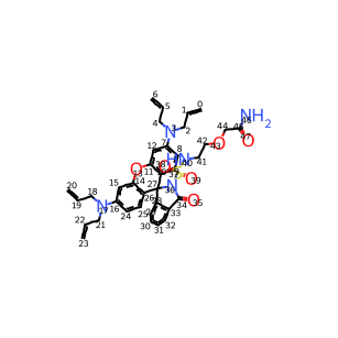 C=CCN(CC=C)c1ccc2c(c1)Oc1cc(N(CC=C)CC=C)ccc1C21c2ccccc2C(=O)N1S(=O)(=O)NCCOCC(N)=O